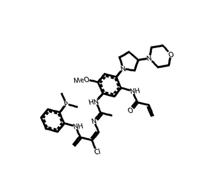 C=CC(=O)Nc1cc(N/C(C)=N/C=C(/Cl)C(=C)Nc2ccccc2P(C)C)c(OC)cc1N1CCC(N2CCOCC2)C1